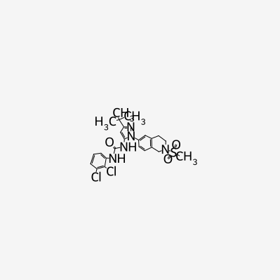 CC(C)(C)c1cc(NC(=O)Nc2cccc(Cl)c2Cl)n(-c2ccc3c(c2)CCN(S(C)(=O)=O)C3)n1